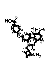 CNc1cc(F)c(F)c2c1[nH]c1nc(Oc3cnc([C@H](C)O)nc3)nc(N3CC[C@]4(CC[C@H]4N)C3)c12